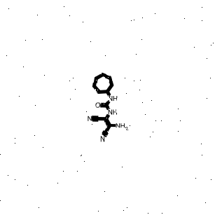 N#CC(N)=C(C#N)NC(=O)NC1CCCCCC1